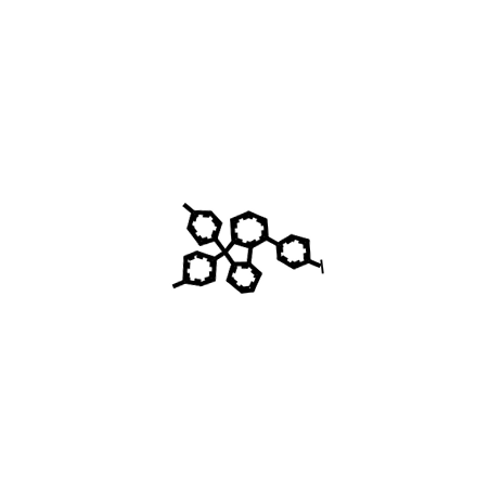 Cc1ccc(C2(c3ccc(C)cc3)c3ccccc3-c3c(-c4ccc(I)cc4)cccc32)cc1